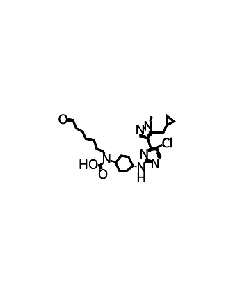 Cn1ncc(-c2nc(N[C@H]3CC[C@H](N(CCCCCCC=O)C(=O)O)CC3)ncc2Cl)c1CC1CC1